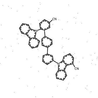 N#Cc1ccc(-n2c3ccccc3c3ccccc32)c(-c2ccc(-c3cccc(-n4c5ccccc5c5c(C#N)cccc54)c3)cc2)c1